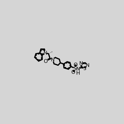 C[C@H](C(=O)N1CCC(c2ccc(S(=O)(=O)Nc3ncns3)cc2)CC1)n1ccc2ccccc21